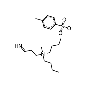 CCCC[N+](C)(CCC=N)CCCC.Cc1ccc(S(=O)(=O)[O-])cc1